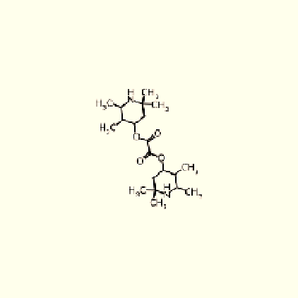 CC1NC(C)(C)CC(OC(=O)C(=O)OC2CC(C)(C)NC(C)C2C)C1C